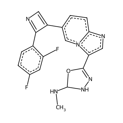 CNC1NN=C(c2cnc3ccc(C4=CN=C4c4ccc(F)cc4F)cn23)O1